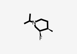 CC(C)N1CC[C@@H](C)[C@@H](F)C1